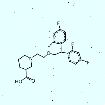 O=C(O)C1CCCN(CCOCC(c2ccc(F)cc2F)c2ccc(F)cc2F)C1